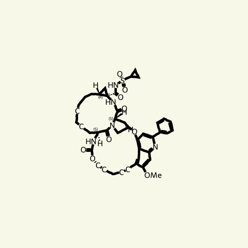 COc1cc2nc(-c3ccccc3)cc3c2cc1CCCCCOC(=O)N[C@H]1CCCCCCC[C@@H]2C[C@@]2(C(=O)NS(=O)(=O)C2CC2)NC(=O)[C@@H]2C[C@H](CN2C1=O)O3